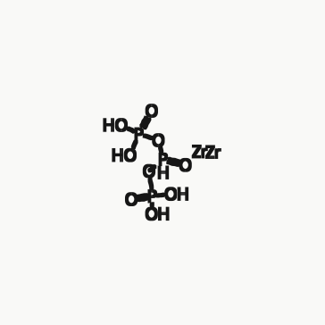 O=[PH](OP(=O)(O)O)OP(=O)(O)O.[Zr].[Zr]